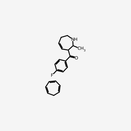 C1=CC=CCC=C1.CC1NCCC=CC1C(=O)c1ccc(F)cc1